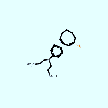 C1=C\CCCC\C=C/1.O=C(O)C[CH2][Ni]([CH2]CC(=O)O)[c]1ccccc1.P